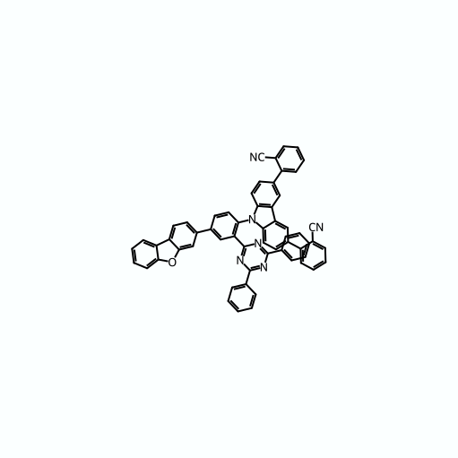 N#Cc1ccccc1-c1ccc2c(c1)c1cc(-c3ccccc3C#N)ccc1n2-c1ccc(-c2ccc3c(c2)oc2ccccc23)cc1-c1nc(-c2ccccc2)nc(-c2ccccc2)n1